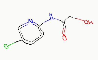 O=C(CO)Nc1ccc(Cl)cn1